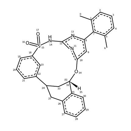 Cc1cccc(C)c1-c1cc2nc(n1)NS(=O)(=O)c1cccc(c1)C1Cc3ccccc3[C@H](C1)O2